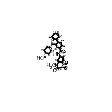 CN1C(=O)CS(=O)(=O)c2ccc(NC(=O)c3ccc(-c4ccccc4)c(CN4CCCCC4)c3)cc21.Cl